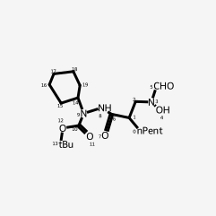 CCCCCC(CN(O)C=O)C(=O)NN(C(=O)OC(C)(C)C)C1CCCCC1